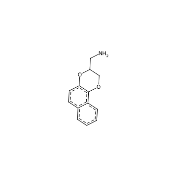 NCC1COc2c(ccc3ccccc23)O1